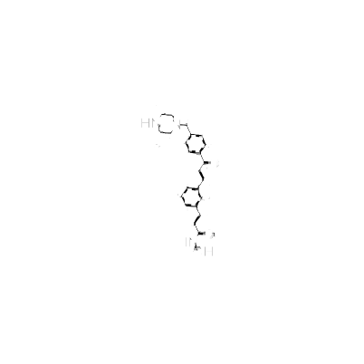 C[C@@H]1CN(Cc2ccc(C(=O)/C=C/c3cccc(/C=C/C(=O)NO)c3)cc2)C[C@H](C)N1